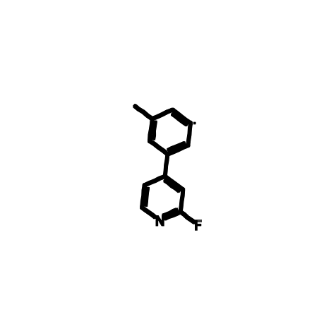 Cc1c[c]cc(-c2ccnc(F)c2)c1